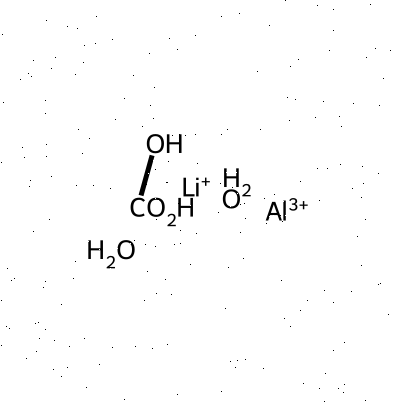 O.O.O=C(O)O.[Al+3].[Li+]